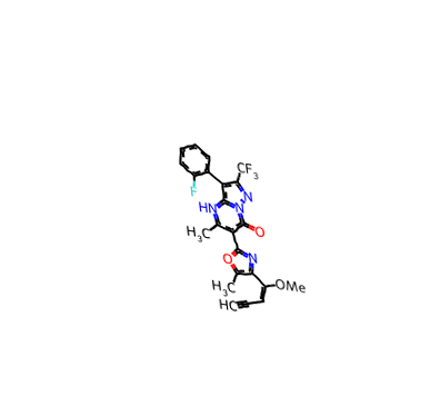 C#C/C=C(/OC)c1nc(-c2c(C)[nH]c3c(-c4ccccc4F)c(C(F)(F)F)nn3c2=O)oc1C